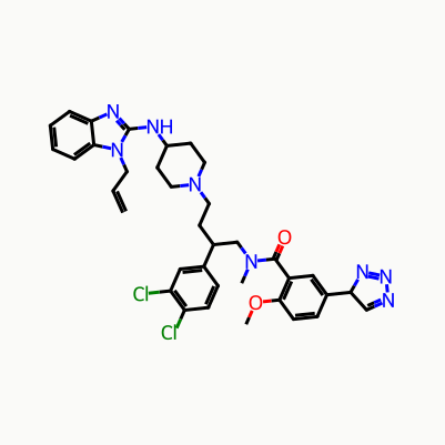 C=CCn1c(NC2CCN(CCC(CN(C)C(=O)c3cc(C4C=NN=N4)ccc3OC)c3ccc(Cl)c(Cl)c3)CC2)nc2ccccc21